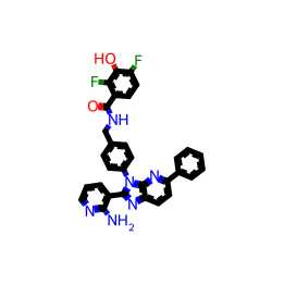 Nc1ncccc1-c1nc2ccc(-c3ccccc3)nc2n1-c1ccc(CNC(=O)c2ccc(F)c(O)c2F)cc1